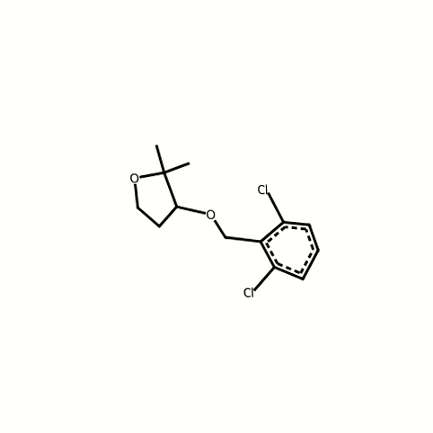 CC1(C)OCCC1OCc1c(Cl)cccc1Cl